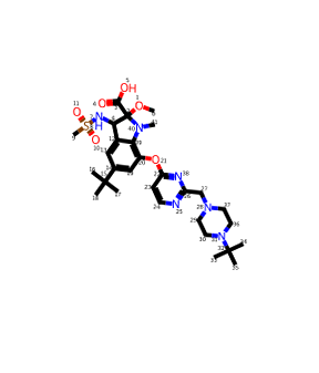 COC1(C(=O)O)C(NS(C)(=O)=O)c2cc(C(C)(C)C)cc(Oc3ccnc(CN4CCN(C(C)(C)C)CC4)n3)c2N1C